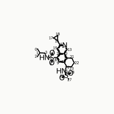 CC(C)CNS(=O)(=O)c1cc2c(c3cnc(C4CC4)cc13)CCCC2NS(C)(=O)=O